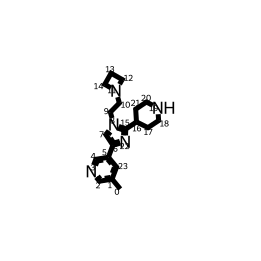 Cc1cncc(-c2cn(CCN3CCC3)c(C3CCNCC3)n2)c1